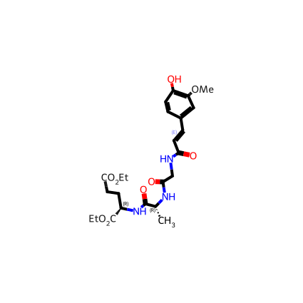 CCOC(=O)CC[C@@H](NC(=O)[C@@H](C)NC(=O)CNC(=O)/C=C/c1ccc(O)c(OC)c1)C(=O)OCC